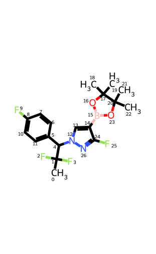 CC(F)(F)C(c1ccc(F)cc1)n1cc(B2OC(C)(C)C(C)(C)O2)c(F)n1